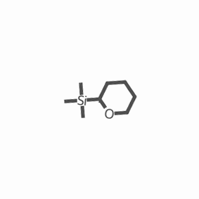 C[Si](C)(C)[C]1CCCCO1